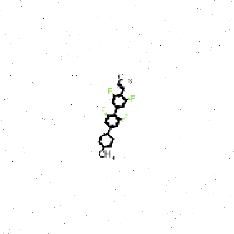 CC1CCC(c2cc(F)c(-c3cc(F)c(/C=C/C(F)(F)F)c(F)c3)c(F)c2)CC1